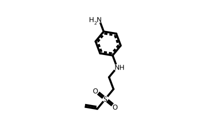 C=CS(=O)(=O)CCNc1ccc(N)cc1